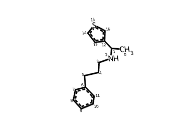 CC(NCCCc1ccccc1)c1ccsc1